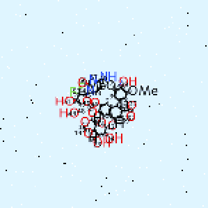 COc1cc([C@@H]2c3cc4c(cc3[C@@H](O[C@@H]3O[C@@H]5CO[C@@H](C)O[C@H]5[C@H](O)[C@H]3O)[C@H]3COC(=O)[C@H]23)OCO4)cc(OC)c1O.Nc1ccn([C@@H]2O[C@H](CO)[C@@H](O)C2(F)F)c(=O)n1